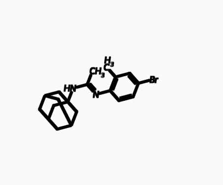 CC(=Nc1ccc(Br)cc1C)NC12CC3CC(CC(C3)C1)C2